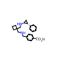 O=C(O)c1ccc(CNCC2(CN[C@H]3C[C@@H]3c3ccccc3)CCC2)cc1